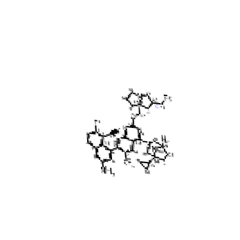 C#Cc1c(F)ccc2cc(N)cc(-c3c(C(F)(F)F)cc4c(N5C[C@@H]6CC[C@](C7CC7)(C5)N6)nc(OC[C@@]56CCCN5C/C(=C\F)C6)nc4c3F)c12